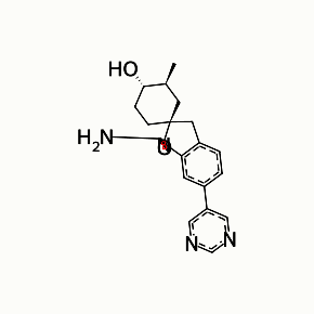 C[C@H]1C[C@@]2(CC[C@@H]1O)Cc1ccc(-c3cncnc3)cc1C21COC(N)=N1